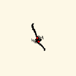 CCCCCCCCCCCCOP(=O)(O)C(CC)(C(=O)OCC)P(=O)(O)OCCCCCCCCCCCC